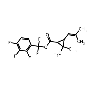 CC(C)=CC1C(C(=O)OC(F)(F)c2ccc(F)c(F)c2F)C1(C)C